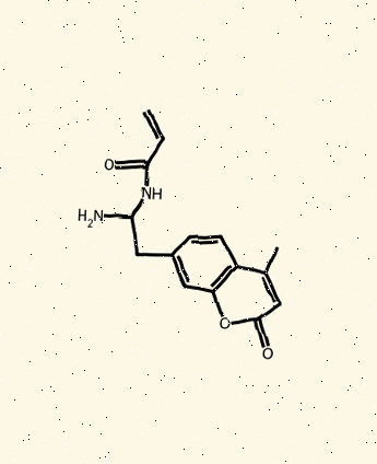 C=CC(=O)NC(N)Cc1ccc2c(C)cc(=O)oc2c1